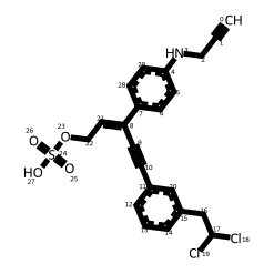 C#CCNc1ccc(C(C#Cc2cccc(CC(Cl)Cl)c2)=CCOS(=O)(=O)O)cc1